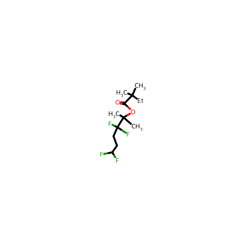 CCC(C)(C)C(=O)OC(C)(C)C(F)(F)CCC(F)F